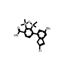 CCC1=Cc2cc(C(C)(C)C)cc(-c3ccc(C([NH])=O)c4c3[Si](C)(C)O[Si]4(C)C)c2C1